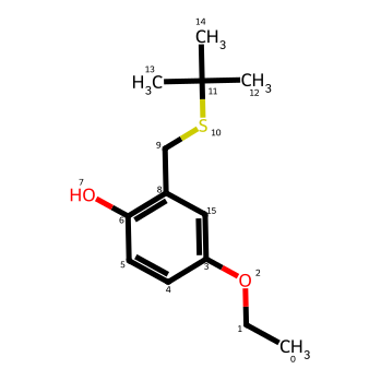 CCOc1ccc(O)c(CSC(C)(C)C)c1